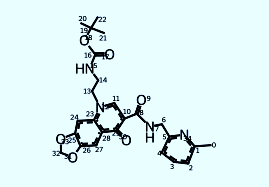 Cc1cccc(CNC(=O)c2cn(CCNC(=O)OC(C)(C)C)c3cc4c(cc3c2=O)OCO4)n1